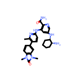 Cc1nc(Nc2cc(N[C@@H]3CCCC[C@@H]3N)cnc2C(N)=O)ccc1-c1ccc2c(c1)n(C)c(=O)n2C